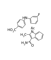 CC(=O)n1c(C)c(C(N)=O)c2ccccc21.O=C(O)c1ccc(Nc2cccc(F)c2)cc1